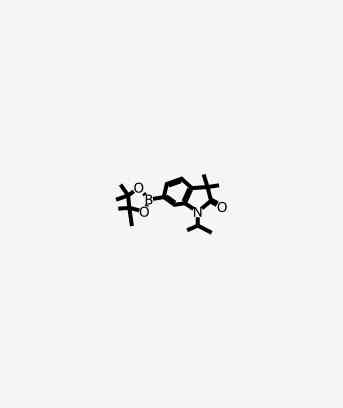 CC(C)N1C(=O)C(C)(C)c2ccc(B3OC(C)(C)C(C)(C)O3)cc21